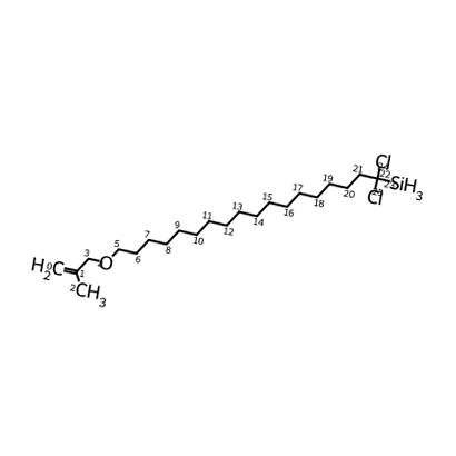 C=C(C)COCCCCCCCCCCCCCCCCCC([SiH3])(Cl)Cl